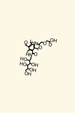 O=[C]c1c(I)c(NC(=O)COCC(=O)O)c(I)c(C(=O)NCC(O)C(O)C(O)C(O)CO)c1I